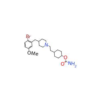 COc1ccc(Br)c(CC2CCN(CCC3CCC(OC(N)=O)CC3)CC2)c1